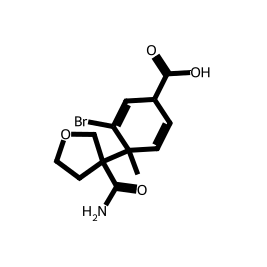 CC1(C2(C(N)=O)CCOC2)C=CC(C(=O)O)C=C1Br